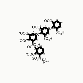 O=C([O-])c1cccc(S(=O)(=O)O)c1C(=O)[O-].O=C([O-])c1cccc(S(=O)(=O)O)c1C(=O)[O-].O=C([O-])c1cccc(S(=O)(=O)O)c1C(=O)[O-].O=C([O-])c1cccc(S(=O)(=O)O)c1C(=O)[O-].[Zr+4].[Zr+4]